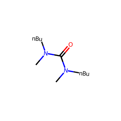 CCCCN(C)C(=O)N(C)CCCC